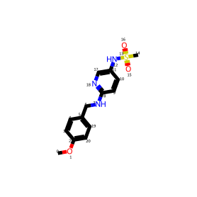 COc1ccc(CNc2ccc(NS(C)(=O)=O)cn2)cc1